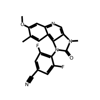 COc1cc2ncc3c(c2cc1C)n(-c1c(F)cc(C#N)cc1F)c(=O)n3C